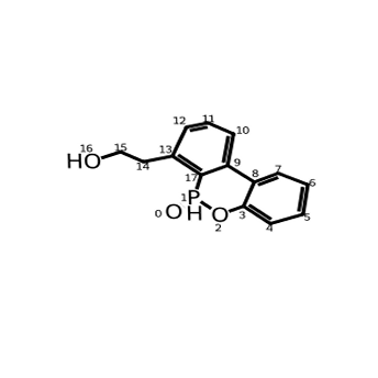 O=[PH]1Oc2ccccc2-c2cccc(CCO)c21